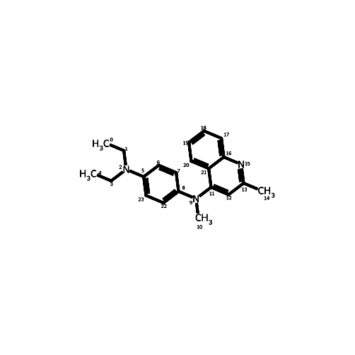 CCN(CC)c1ccc(N(C)c2cc(C)nc3ccccc23)cc1